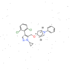 Clc1cccc(Cl)c1-c1cnn(C2CC2)c1CO[C@@H]1C[C@@H]2C[C@H]1CN2c1ccccc1